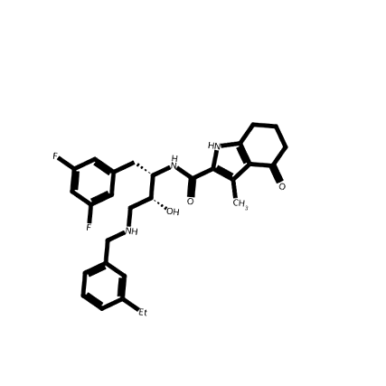 CCc1cccc(CNC[C@@H](O)[C@H](Cc2cc(F)cc(F)c2)NC(=O)c2[nH]c3c(c2C)C(=O)CCC3)c1